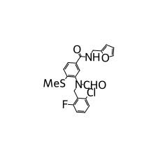 CSc1ccc(C(=O)NCc2ccco2)cc1N(C=O)Cc1c(F)cccc1Cl